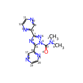 CN(C)C(=O)n1nc(-c2cnccn2)nc1-c1cnccn1